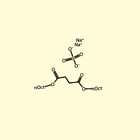 CCCCCCCCOC(=O)CCC(=O)OCCCCCCCC.O=S(=O)([O-])[O-].[Na+].[Na+]